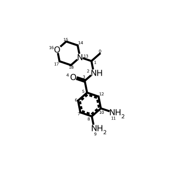 CC(NC(=O)c1ccc(N)c(N)c1)N1CCOCC1